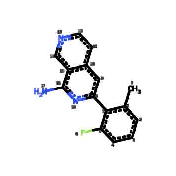 Cc1cccc(F)c1-c1cc2ccncc2c(N)n1